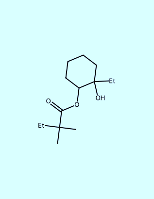 CCC(C)(C)C(=O)OC1CCCCC1(O)CC